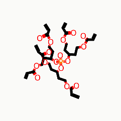 C=CC(=O)OCCC(CCOC(=O)C=C)OP(=O)(OC(CCOC(=O)C=C)CCOC(=O)C=C)OC(CCOC(=O)C=C)CCOC(=O)C=C